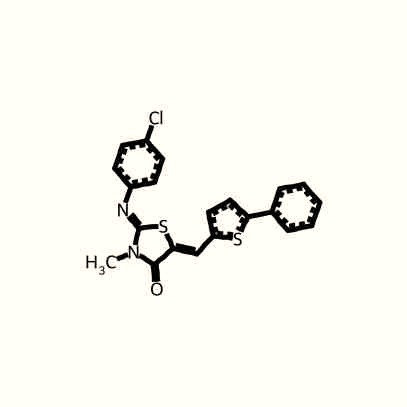 CN1C(=O)C(=Cc2ccc(-c3ccccc3)s2)SC1=Nc1ccc(Cl)cc1